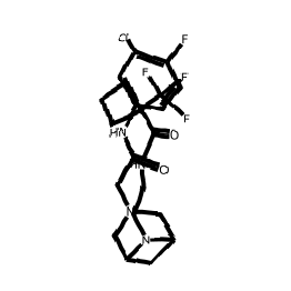 O=C(CN1CC2CC(C1)N2CCNC(=O)C1(C(F)(F)F)CCC1)Nc1ccc(F)c(Cl)c1